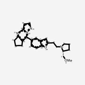 COC[C@H]1CCCN1CCc1cc2cc(-c3c4c(nc5ccnn35)CCC4)ccc2o1